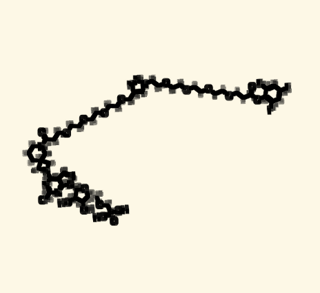 O=C(CCOCCOCCOCCOCCn1cc(COCCOCCOCCOCCC(=O)N2CCCC3(C2)CN(c2nc(Cl)nc4c2cnn4[C@@H]2O[C@H](COCP(=O)(O)O)[C@@H](O)[C@H]2O)C3)nn1)Oc1c(F)cc(F)cc1F